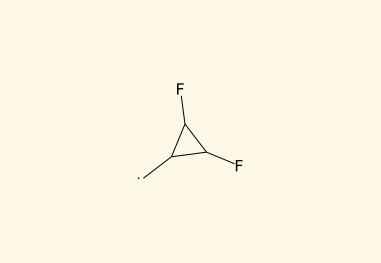 [CH2]C1C(F)C1F